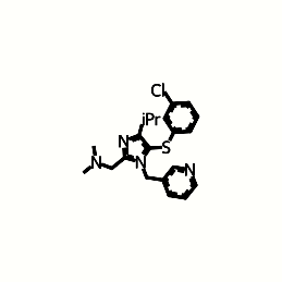 CC(C)c1nc(CN(C)C)n(Cc2cccnc2)c1Sc1cccc(Cl)c1